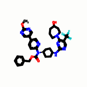 COc1ncc(-c2ccc(N(C(=O)OCc3ccccc3)[C@H]3CC[C@H](Nc4ncc(C(F)(F)F)c(N5CCCC(O)CC5)n4)CC3)nc2)cn1